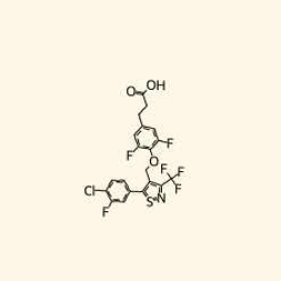 O=C(O)CCc1cc(F)c(OCc2c(C(F)(F)F)nsc2-c2ccc(Cl)c(F)c2)c(F)c1